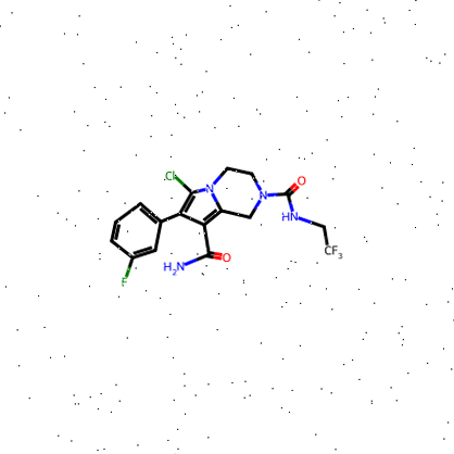 NC(=O)c1c(-c2cccc(F)c2)c(Cl)n2c1CN(C(=O)NCC(F)(F)F)CC2